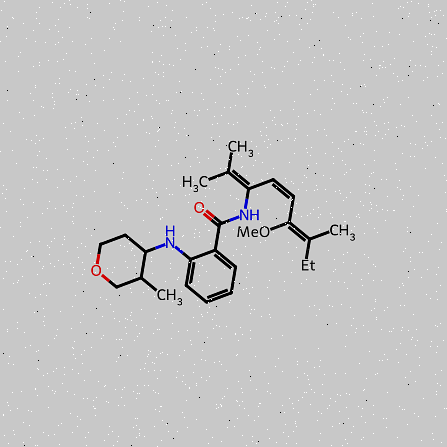 CC/C(C)=C(/C=C\C(NC(=O)c1ccccc1NC1CCOCC1C)=C(C)C)OC